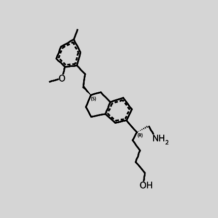 COc1ccc(C)cc1CC[C@@H]1CCc2cc([C@H](CN)CCCCO)ccc2C1